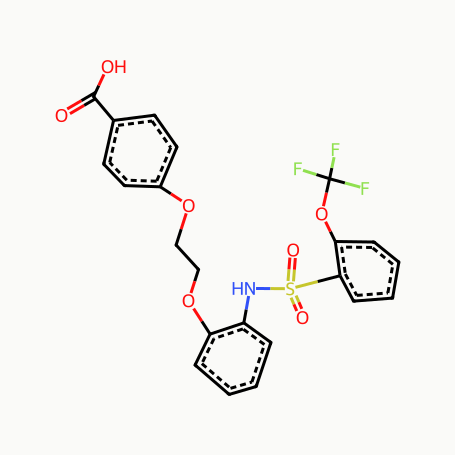 O=C(O)c1ccc(OCCOc2ccccc2NS(=O)(=O)c2ccccc2OC(F)(F)F)cc1